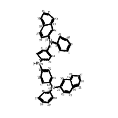 c1ccc(N(c2ccc(Nc3ccc(N(c4ccccc4)c4ccc5ccccc5c4)cc3)cc2)c2ccc3ccccc3c2)cc1